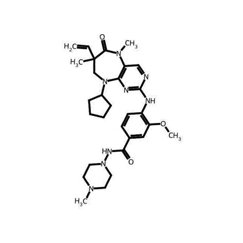 C=CC1(C)CN(C2CCCC2)c2nc(Nc3ccc(C(=O)NN4CCN(C)CC4)cc3OC)ncc2N(C)C1=O